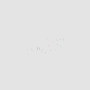 O=C1C(=Cc2cc3sc(-c4ccccc4)nc3o2)C(=O)c2c(Cl)c(Cl)c(Cl)c(Cl)c21